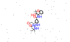 CCC1(CC)CC(=O)N(C(CCOC)c2cccc(C(=O)N[C@@H]3c4ccccc4OC(C)(C)[C@H]3O)c2)C(=N)N1